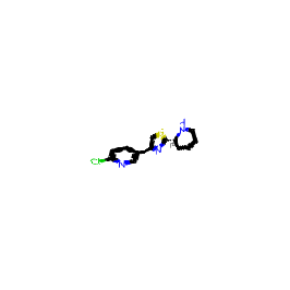 Clc1ccc(-c2csc([C@H]3CCCCN3)n2)cn1